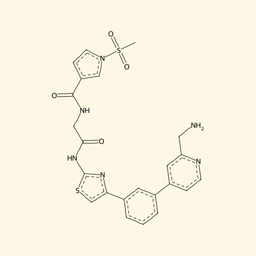 CS(=O)(=O)n1ccc(C(=O)NCC(=O)Nc2nc(-c3cccc(-c4ccnc(CN)c4)c3)cs2)c1